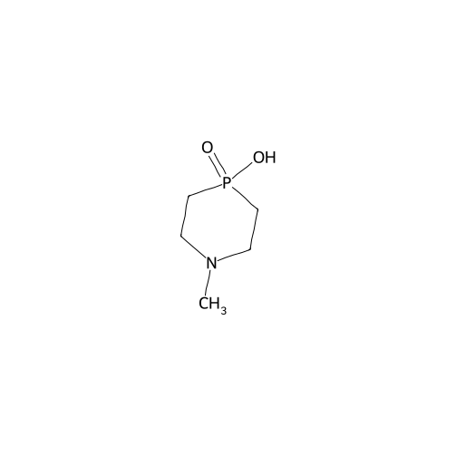 CN1CCP(=O)(O)CC1